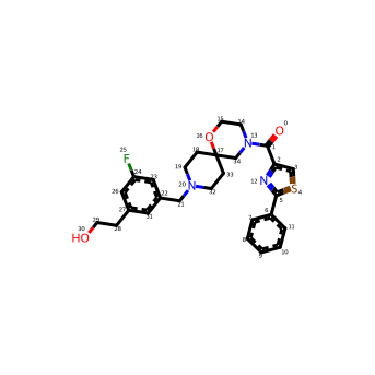 O=C(c1csc(-c2ccccc2)n1)N1CCOC2(CCN(Cc3cc(F)cc(CCO)c3)CC2)C1